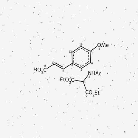 CCOC(=O)C(NC(C)=O)C(=O)OCC.COc1ccc(C=CC(=O)O)cc1